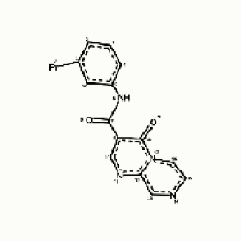 CC(C)c1cccc(NC(=O)c2cnc3cnccn3c2=O)c1